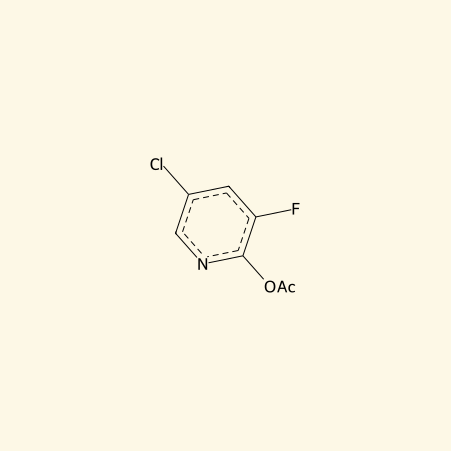 CC(=O)Oc1ncc(Cl)cc1F